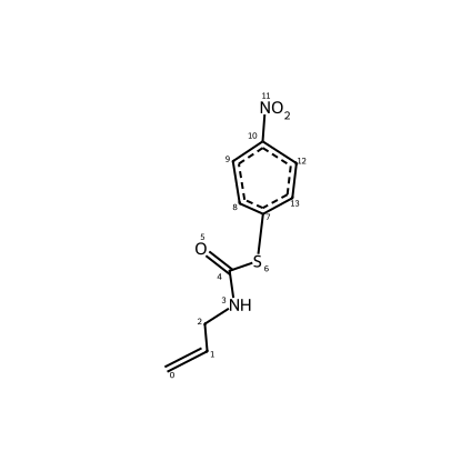 C=CCNC(=O)Sc1ccc([N+](=O)[O-])cc1